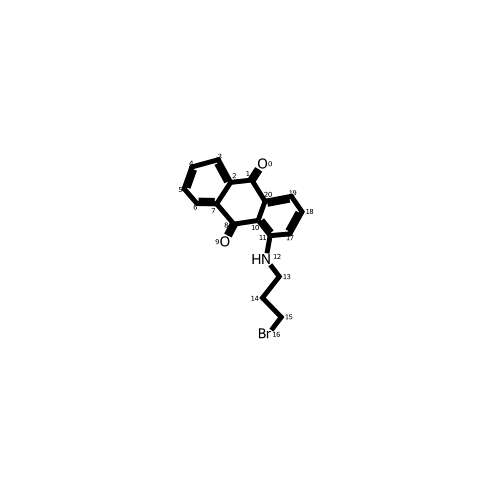 O=C1c2ccccc2C(=O)c2c(NCCCBr)cccc21